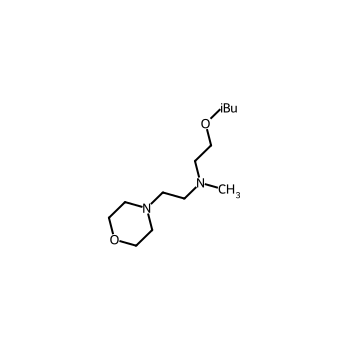 CCC(C)OCCN(C)CCN1CCOCC1